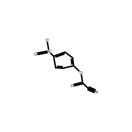 N#CC(=O)Oc1ccc([N+](=O)[O-])cc1